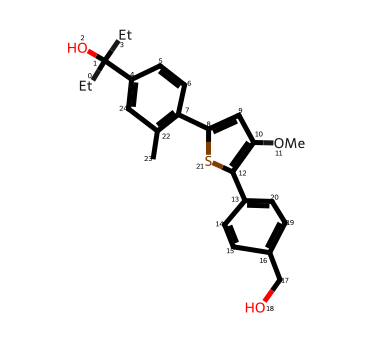 CCC(O)(CC)c1ccc(-c2cc(OC)c(-c3ccc(CO)cc3)s2)c(C)c1